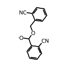 N#Cc1ccccc1COC([O])c1ccccc1C#N